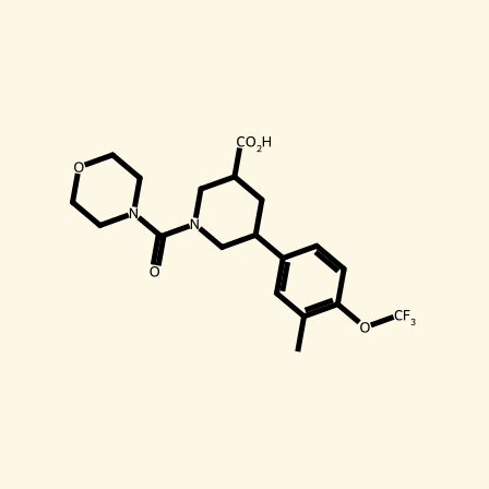 Cc1cc(C2CC(C(=O)O)CN(C(=O)N3CCOCC3)C2)ccc1OC(F)(F)F